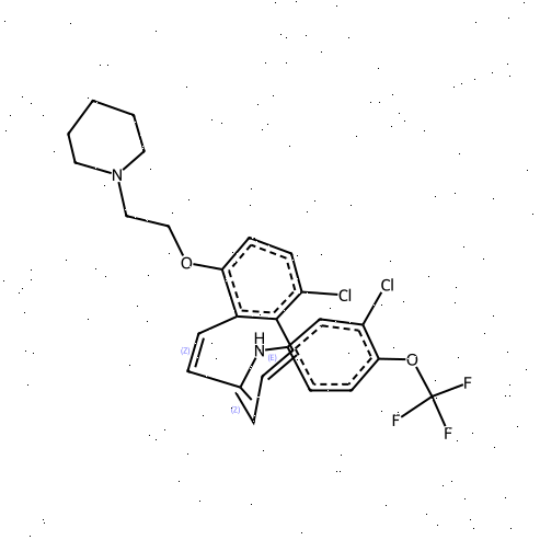 FC(F)(F)Oc1ccc(NC2=C\C=C\c3c(Cl)ccc(OCCN4CCCCC4)c3/C=C\2)cc1Cl